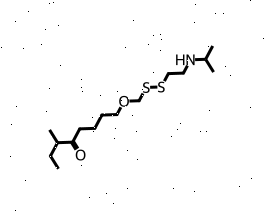 CCC(C)C(=O)CCCCOCSSCCNC(C)C